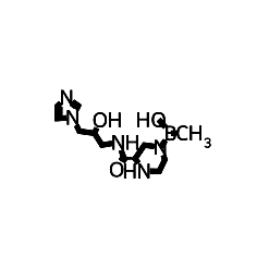 CB(O)N1CCN[C@@H](C(=O)NCC(O)Cn2ccnc2)C1